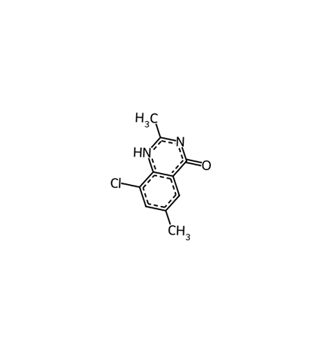 Cc1cc(Cl)c2[nH]c(C)nc(=O)c2c1